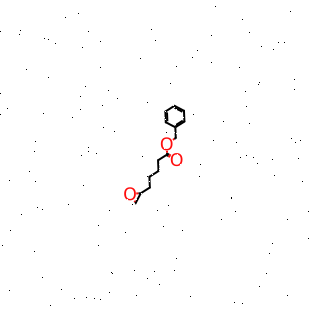 O=C(CCCCC1CO1)OCc1ccccc1